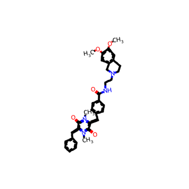 COc1cc2c(cc1OC)CN(CCNC(=O)c1ccc(/C=c3/c(=O)n(C)/c(=C\c4ccccc4)c(=O)n3C)cc1)CC2